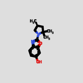 C[C@@H]1CN(c2nc3ccc(O)cc3o2)C(C)(C)C1